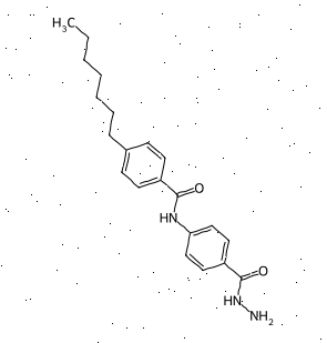 CCCCCCCc1ccc(C(=O)Nc2ccc(C(=O)NN)cc2)cc1